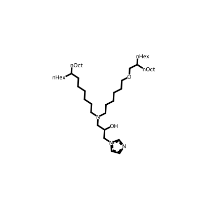 CCCCCCCCC(CCCCCC)CCCCCCN(CCCCCCOCC(CCCCCC)CCCCCCCC)CC(O)Cn1ccnc1